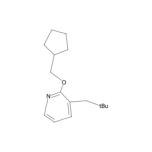 CC(C)(C)Cc1cccnc1OCC1CCCC1